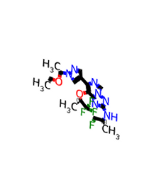 CCOC(C)n1cc(-c2ncn3nc(N[C@@H](C)CF)nc3c2O[C@@H](C)C(F)(F)F)cn1